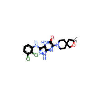 C[C@H]1CC2(CCN(c3nc4[nH]nc(Nc5cccc(Cl)c5Cl)c4[nH]c3=O)CC2)CO1